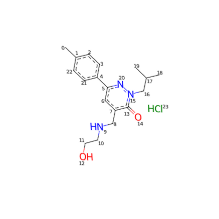 Cc1ccc(-c2cc(CNCCO)c(=O)n(CC(C)C)n2)cc1.Cl